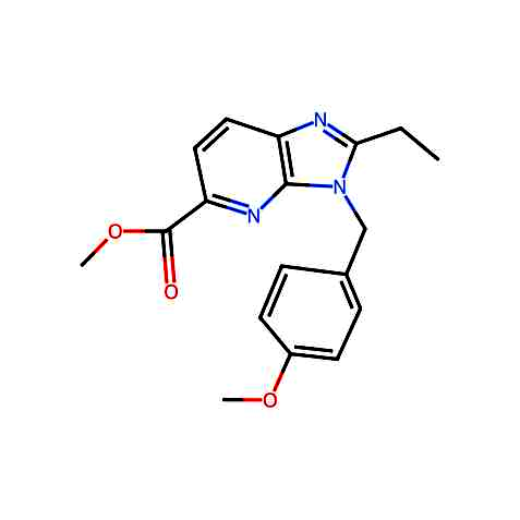 CCc1nc2ccc(C(=O)OC)nc2n1Cc1ccc(OC)cc1